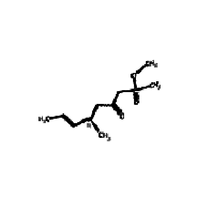 CCC[C@H](C)CC(=O)CP(C)(=O)OC